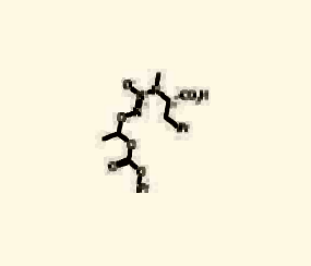 CC(C)C[C@@H](C(=O)O)N(C)/[N+]([O-])=N/OC(C)OC(=O)OC(C)C